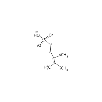 CC(C)C(C)[CH]CS(=O)(=O)O